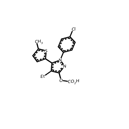 CCc1c(OC(=O)O)nn(-c2ccc(Cl)cc2)c1-c1ccc(C)s1